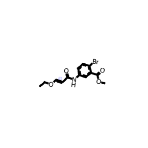 CCO/C=C/C(=O)Nc1ccc(Br)c(C(=O)OC)c1